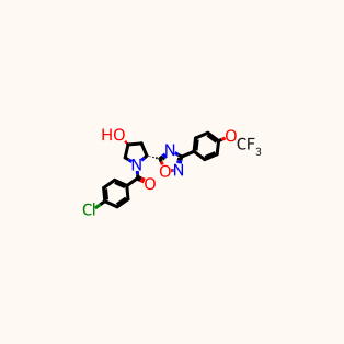 O=C(c1ccc(Cl)cc1)N1C[C@@H](O)C[C@@H]1c1nc(-c2ccc(OC(F)(F)F)cc2)no1